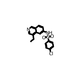 CCc1cncc2ccc(NS(=O)(=O)c3ccc(Cl)cc3)cc12